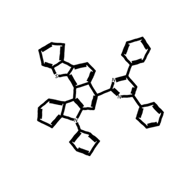 c1ccc(-c2cc(-c3ccccc3)nc(-c3cc4c(c5ccccc5n4-c4ccccc4)c4c3ccc3c5ccccc5sc34)n2)cc1